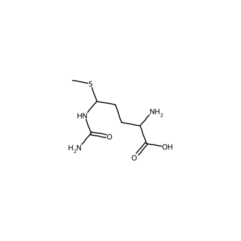 CSC(CCC(N)C(=O)O)NC(N)=O